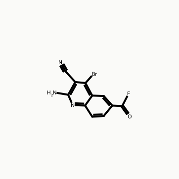 N#Cc1c(N)nc2ccc(C(=O)F)cc2c1Br